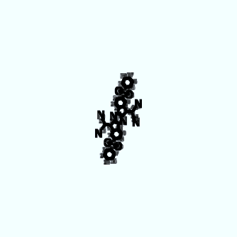 N#CC(C#N)=C1c2cc(S(=O)(=O)c3ccccc3)ccc2-c2nc3c(nc21)-c1ccc(S(=O)(=O)c2ccccc2)cc1C3=C(C#N)C#N